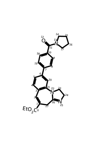 CCOC(=O)C1=Cc2ccc(-c3ccc(C(=O)N4CCCC4)cc3)cc2N2CCN=C2C1